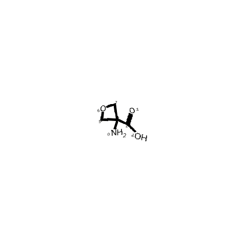 NC1(C(=O)O)[CH]OC1